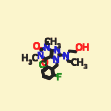 CCN(CCO)c1nc2c(c(=O)n(C)c(=O)n2C)n1Cc1c(F)cccc1Cl